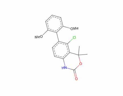 COc1cccc(OC)c1-c1ccc2c(c1Cl)C(C)(C)OC(=O)N2